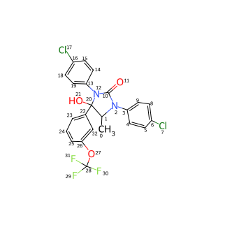 CC1N(c2ccc(Cl)cc2)C(=O)N(c2ccc(Cl)cc2)C1(O)c1cccc(OC(F)(F)F)c1